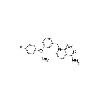 Br.N=c1c(C(N)=O)cccn1Cc1cccc(Oc2ccc(F)cc2)c1